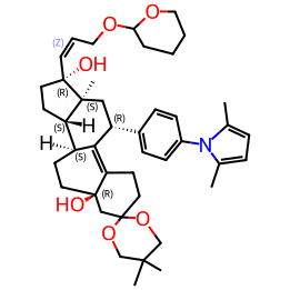 Cc1ccc(C)n1-c1ccc([C@H]2C[C@@]3(C)[C@@H](CC[C@@]3(O)/C=C\COC3CCCCO3)[C@@H]3CC[C@@]4(O)CC5(CCC4=C32)OCC(C)(C)CO5)cc1